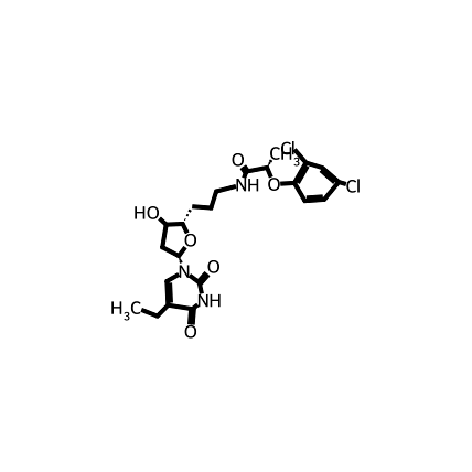 CCc1cn([C@@H]2CC(O)[C@H](CCCNC(=O)[C@H](C)Oc3ccc(Cl)cc3Cl)O2)c(=O)[nH]c1=O